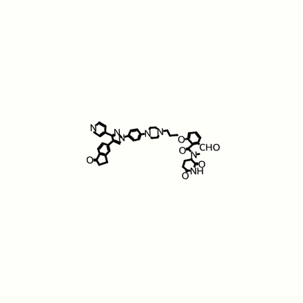 CN(C(=O)c1c(C=O)cccc1OCCCN1CCN(c2ccc(-n3cc(-c4ccc5c(c4)CCC5=O)c(-c4ccncc4)n3)cc2)CC1)C1CCC(=O)NC1=O